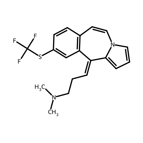 CN(C)CC/C=C1\c2cc(SC(F)(F)F)ccc2C=Cn2cccc21